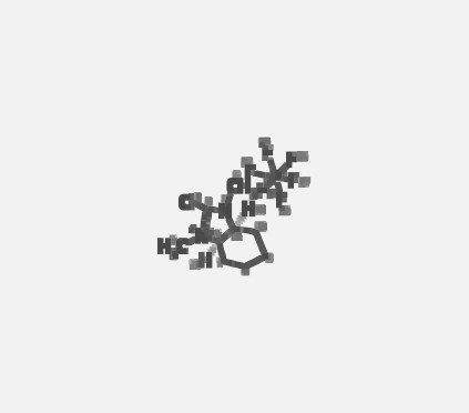 CN1C(Cl)=[N+](C)[C@@H]2CCCC[C@@H]21.F[P-](F)(F)(F)(F)F